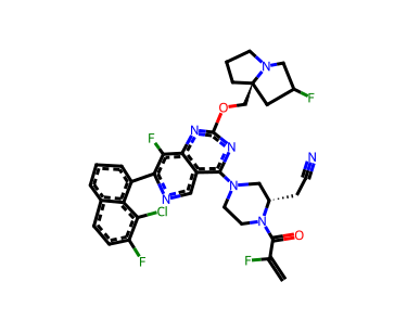 C=C(F)C(=O)N1CCN(c2nc(OC[C@@]34CCCN3CC(F)C4)nc3c(F)c(-c4cccc5ccc(F)c(Cl)c45)ncc23)C[C@@H]1CC#N